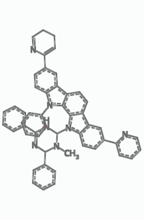 CN1C(c2ccccc2)N=C(c2ccccc2)NC1n1c2ccc(-c3ccccn3)cc2c2ccc3c4cc(C5=CCCC=N5)ccc4n(-c4ccccc4)c3c21